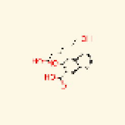 O=C(O)c1cc2ccccc2cc1O.OCCCCCCO